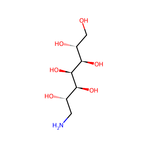 NC[C@H](O)[C@H](O)[C@@H](O)[C@H](O)[C@H](O)CO